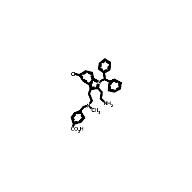 CN(CCc1c(CCN)n(C(c2ccccc2)c2ccccc2)c2ccc(Cl)cc12)Cc1ccc(C(=O)O)cc1